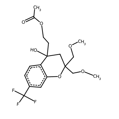 COCC1(COC)CC(O)(CCOC(C)=O)c2ccc(C(F)(F)F)cc2O1